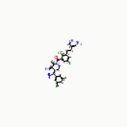 CN/C(=C1/CCN(C(=O)c2cc(F)cc(CC/C(C=N)=C/N)c2Cl)C(C)C1=N)c1cc(F)cc(F)c1